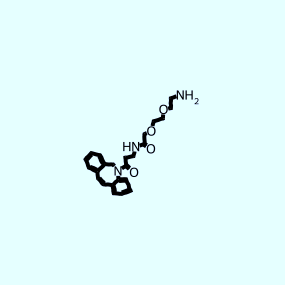 NCCOCCOCC(=O)NCCC(=O)N1Cc2ccccc2/C=C\c2ccccc21